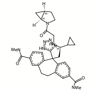 CNC(=O)c1ccc2c(c1)CCc1cc(C(=O)NC)ccc1C2(C[C@@H](NCC(=O)N1CC[C@@H]2C[C@@H]21)C1CC1)c1nnn[nH]1